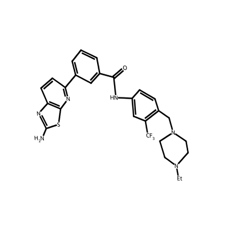 CCN1CCN(Cc2ccc(NC(=O)c3cccc(-c4ccc5nc(N)sc5n4)c3)cc2C(F)(F)F)CC1